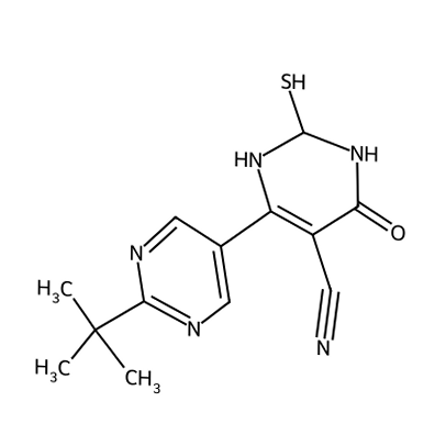 CC(C)(C)c1ncc(C2=C(C#N)C(=O)NC(S)N2)cn1